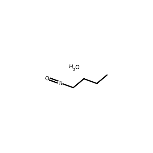 CCC[CH2][Ti]=[O].O